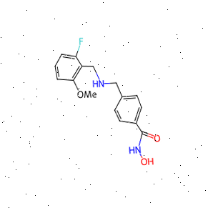 COc1cccc(F)c1CNCc1ccc(C(=O)NO)cc1